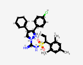 C=CC(c1c(C)cc(C)cc1C)S(=O)(=O)NC(=N)n1cc(C2=CCCC=C2)c(-c2ccc(Cl)cc2)n1